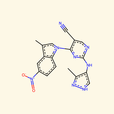 Cc1n[nH]cc1Nc1ncc(C#N)c(-n2cc(C)c3cc([N+](=O)[O-])ccc32)n1